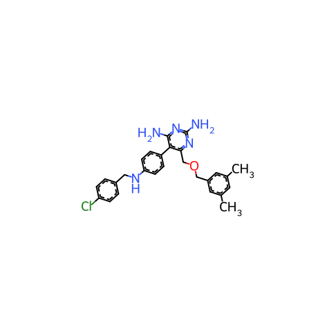 Cc1cc(C)cc(COCc2nc(N)nc(N)c2-c2ccc(NCc3ccc(Cl)cc3)cc2)c1